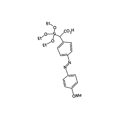 CCO[Si](OCC)(OCC)C(C(=O)O)c1ccc(N=Nc2ccc(OC)cc2)cc1